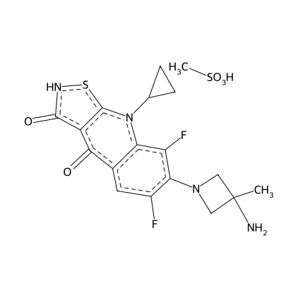 CC1(N)CN(c2c(F)cc3c(=O)c4c(=O)[nH]sc4n(C4CC4)c3c2F)C1.CS(=O)(=O)O